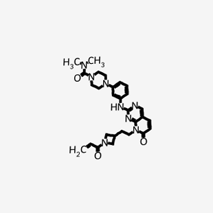 C=CC(=O)N1CC(CCn2c(=O)ccc3cnc(Nc4cccc(N5CCN(C(=O)N(C)C)CC5)c4)nc32)C1